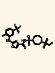 CCS(=O)(=O)N1CCCN(S(=O)(=O)NC(=O)c2coc(Nc3cc(C(F)(F)F)ccc3C)n2)CC1